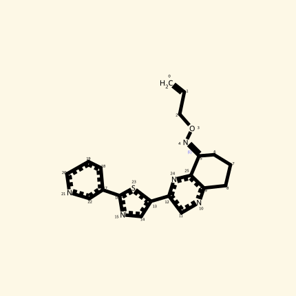 C=CCO/N=C1\CCCc2ncc(-c3cnc(-c4cccnc4)s3)nc21